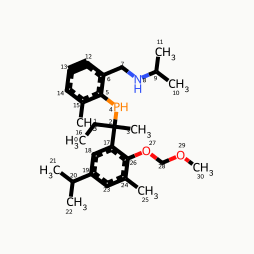 CCC(C)(Pc1c(CNC(C)C)c#ccc1C)c1cc(C(C)C)cc(C)c1OCOC